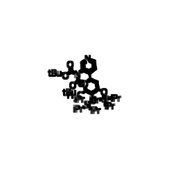 [CH2][C@H]1O[C@@H](c2ccncc2N(C(=O)OC(C)(C)C)C(=O)OC(C)(C)C)C[C@@H](O[Si](C(C)C)(C(C)C)C(C)C)[C@@H]1O[Si](C(C)C)(C(C)C)C(C)C